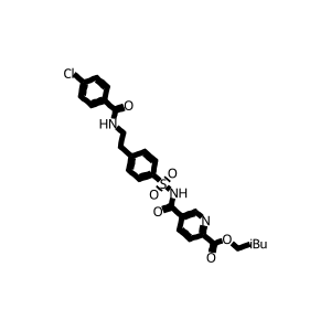 CCC(C)COC(=O)c1ccc(C(=O)NS(=O)(=O)c2ccc(CCNC(=O)c3ccc(Cl)cc3)cc2)cn1